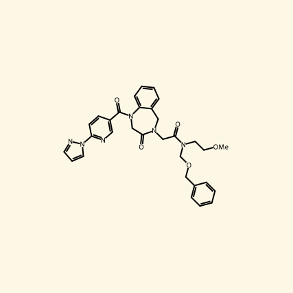 COCCN(COCc1ccccc1)C(=O)CN1Cc2ccccc2N(C(=O)c2ccc(-n3cccn3)nc2)CC1=O